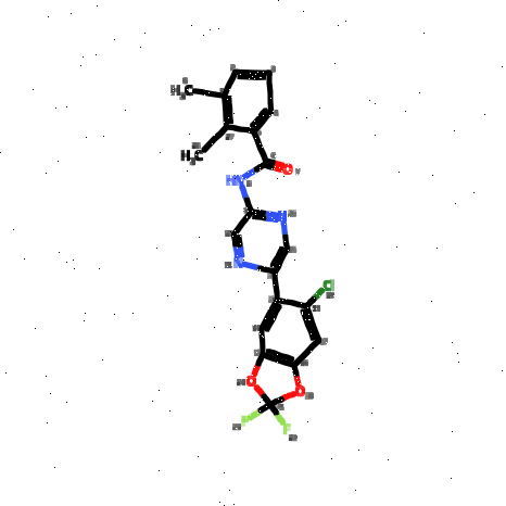 Cc1cccc(C(=O)Nc2cnc(-c3cc4c(cc3Cl)OC(F)(F)O4)cn2)c1C